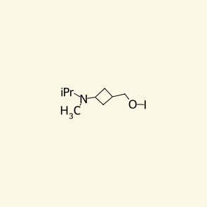 CC(C)N(C)C1CC(COI)C1